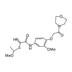 COc1cc(NC(=O)C(=N)SC(C)OC)ccc1OCC(=O)N1CCOCC1